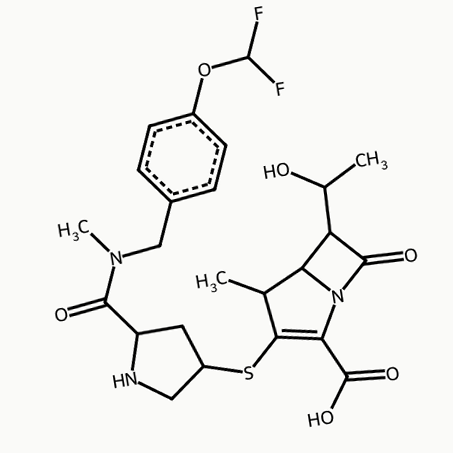 CC(O)C1C(=O)N2C(C(=O)O)=C(SC3CNC(C(=O)N(C)Cc4ccc(OC(F)F)cc4)C3)C(C)C12